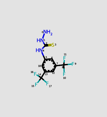 NNC(=S)Nc1cc(C(F)(F)F)cc(C(F)(F)F)c1